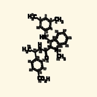 Cc1cc(C)cc(Nc2c(C(=O)NC(C)c3ccc(C(=O)O)cc3)n(C)c3ccccc23)c1